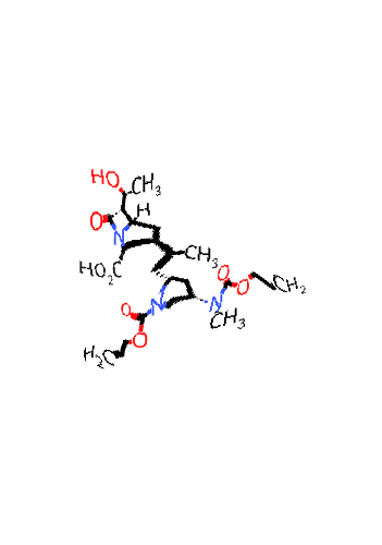 C=CCOC(=O)N(C)[C@H]1C[C@@H](/C=C(\C)C2=C(C(=O)O)N3C(=O)[C@H]([C@@H](C)O)[C@H]3C2)N(C(=O)OCC=C)C1